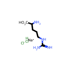 Cl.N=C(N)NCCCC(N)C(=O)O.[Cl-].[Na+]